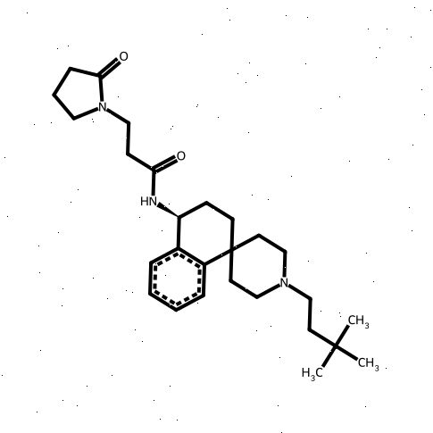 CC(C)(C)CCN1CCC2(CC[C@H](NC(=O)CCN3CCCC3=O)c3ccccc32)CC1